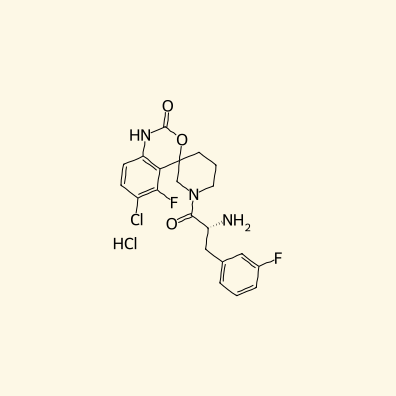 Cl.N[C@H](Cc1cccc(F)c1)C(=O)N1CCCC2(C1)OC(=O)Nc1ccc(Cl)c(F)c12